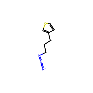 [N-]=[N+]=NCC[CH]c1ccsc1